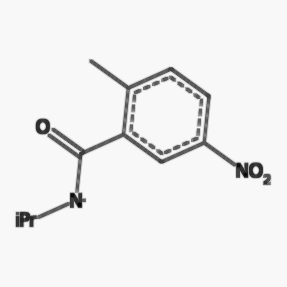 Cc1ccc([N+](=O)[O-])cc1C(=O)[N]C(C)C